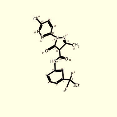 CCC(F)(F)c1cccc(NC(=O)C2C(=O)N(c3ccc(Cl)nn3)N=C2C)c1